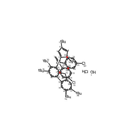 Cl.Cl.[CH2]=[Zr]([C]1=CC(C(C)(C)C)=CC1C(C)C)([c]1ccc(Cl)cc1)([c]1ccc(Cl)cc1)[c]1c2c(cc(C(C)(C)C)c1C(C)(C)C)-c1cc(C(C)(C)C)c(C(C)(C)C)cc1C2